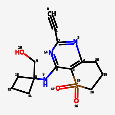 C#Cc1nc2c(c(NC3(CO)CCC3)n1)S(=O)(=O)CCC2